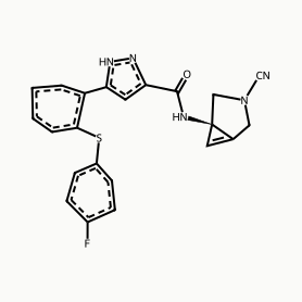 N#CN1CC2=C[C@]2(NC(=O)c2cc(-c3ccccc3Sc3ccc(F)cc3)[nH]n2)C1